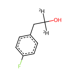 [2H]C([2H])(O)Cc1ccc(F)cc1